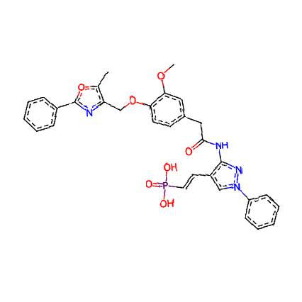 COc1cc(CC(=O)Nc2nn(-c3ccccc3)cc2/C=C/P(=O)(O)O)ccc1OCc1nc(-c2ccccc2)oc1C